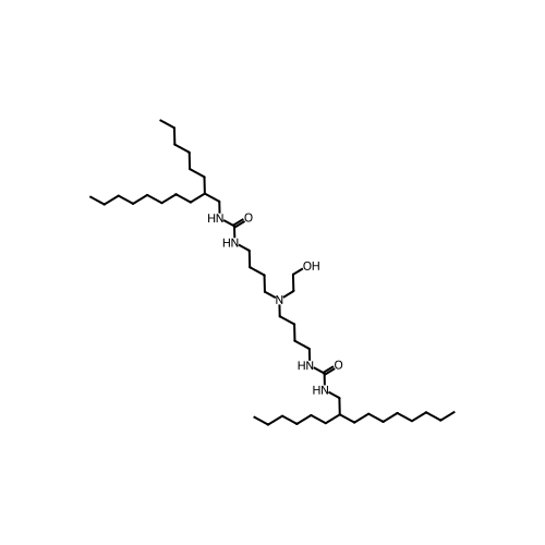 CCCCCCCCC(CCCCCC)CNC(=O)NCCCCN(CCO)CCCCNC(=O)NCC(CCCCCC)CCCCCCCC